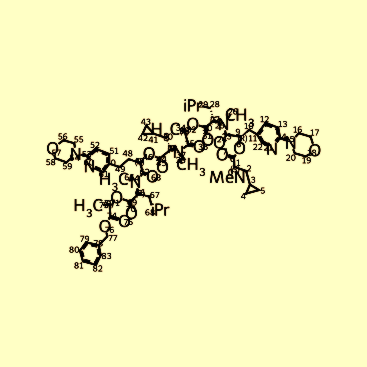 CN[C@@H](CC1CC1)C(=O)O[C@H](Cc1ccc(N2CCOCC2)nc1)C(=O)N(C)[C@@H](CC(C)C)C(=O)O[C@H](C)C(=O)N(C)[C@@H](CC1CC1)C(=O)O[C@H](CCc1ccc(N2CCOCC2)nc1)C(=O)N(C)[C@@H](CC(C)C)C(=O)O[C@H](C)C(=O)OCc1ccccc1